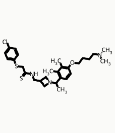 Cc1c(OCCCCN(C)C)ccc(C(C)N2CC(CNC(=S)CSc3ccc(Cl)cc3)C2)c1C